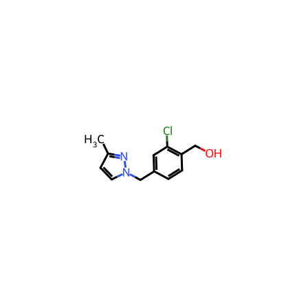 Cc1ccn(Cc2ccc(CO)c(Cl)c2)n1